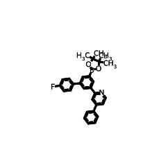 CC1(C)OB(c2cc(-c3ccc(F)cc3)cc(-c3cc(-c4ccccc4)ccn3)c2)OC1(C)C